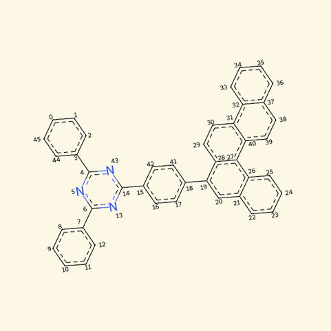 c1ccc(-c2nc(-c3ccccc3)nc(-c3ccc(-c4cc5ccccc5c5c4ccc4c6ccccc6ccc45)cc3)n2)cc1